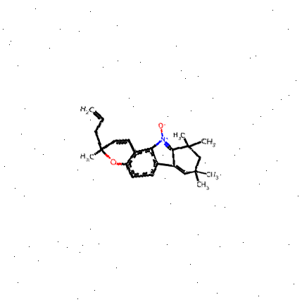 C=CCC1(C)C=Cc2c(ccc3c2[N+]([O-])=C2C3=CC(C)(C)CC2(C)C)O1